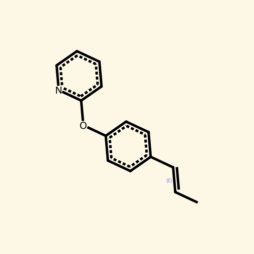 C/C=C/c1ccc(Oc2ccccn2)cc1